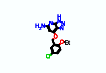 CCOc1ccc(Cl)cc1COc1cc(N)nc2[nH]nnc12